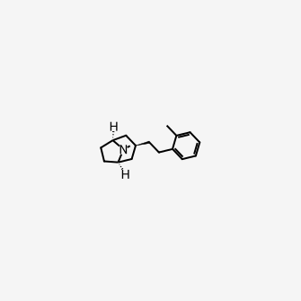 Cc1ccccc1CC[C@H]1C[C@H]2CC[C@@H](C1)N2C